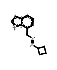 c1cc(C/N=N/C2CCC2)c2[nH]ccc2c1